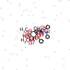 CC(=O)OC1C(=O)C2(C)[C@@H](O)CC3OC[C@@]3(OC(C)=O)[C@H]2[C@H](OC(=O)c2ccccc2)C2(O)C[C@H](OC(=O)[C@H](O)[C@@H](NC(=O)c3ccccc3)c3ccccc3)C(C)=C1C2(C)C